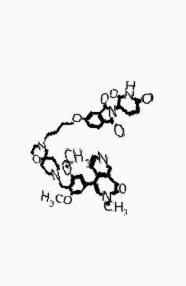 COc1cc(C2=CN(C)C3OC3c3cnccc32)cc(OC)c1CN1CCC2(CC1)CN(CCCCOc1ccc3c(c1)C(=O)N(C1CCC(=O)NC1=O)C3=O)CCO2